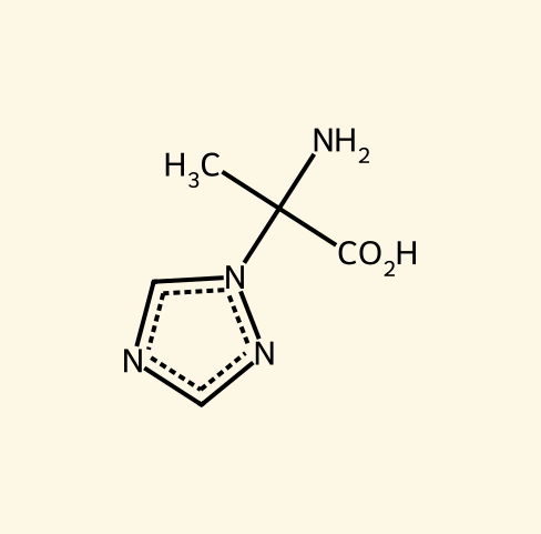 CC(N)(C(=O)O)n1cncn1